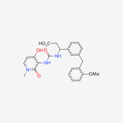 COc1ccccc1Cc1cccc(C(CC(=O)O)NC(=O)Nc2c(O)ccn(C)c2=O)c1